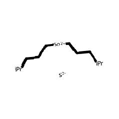 CC(C)CC[CH2][Sn+2][CH2]CCC(C)C.[S-2]